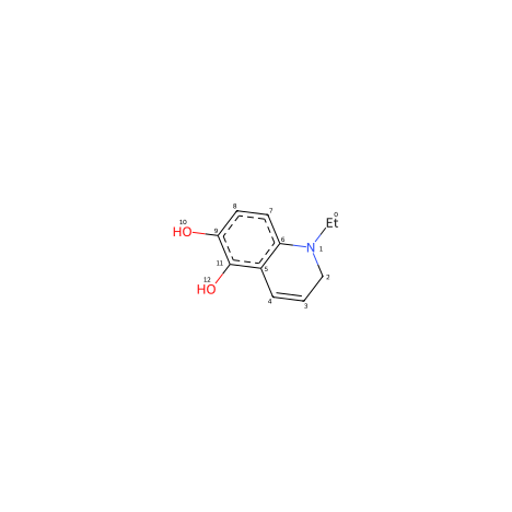 CCN1CC=Cc2c1ccc(O)c2O